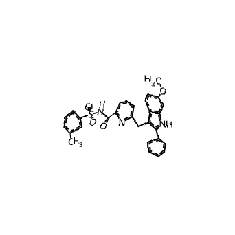 COc1ccc2c(Cc3cccc(C(=O)NS(=O)(=O)c4cccc(C)c4)n3)c(-c3ccccc3)[nH]c2c1